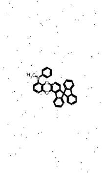 CN(c1ccccc1)c1cccc2c1Oc1ccc3c(c1O2)-c1ccccc1C31c2ccccc2-c2ccccc21